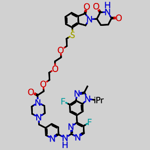 Cc1nc2c(F)cc(-c3nc(Nc4ccc(CN5CCN(C(=O)COCCOCCOCCSc6cccc7c6CN(C6CCC(=O)NC6=O)C7=O)CC5)cn4)ncc3F)cc2n1C(C)C